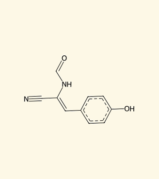 N#CC(=Cc1ccc(O)cc1)NC=O